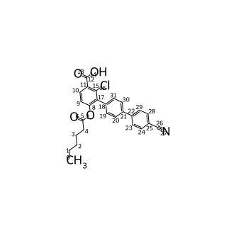 CCCCCC(=O)Oc1ccc(C(=O)O)c(Cl)c1-c1ccc(-c2ccc(C#N)cc2)cc1